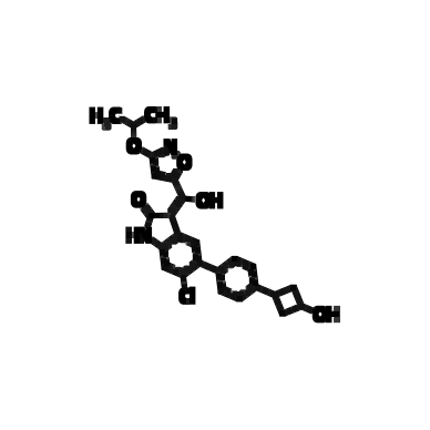 CC(C)Oc1cc(/C(O)=C2\C(=O)Nc3cc(Cl)c(-c4ccc(C5CC(O)C5)cc4)cc32)on1